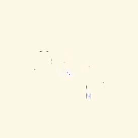 C#CC(C)OC(C#N)NC(=O)c1ccccc1F